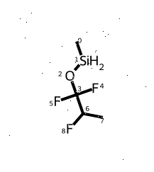 C[SiH2]OC(F)(F)C(C)F